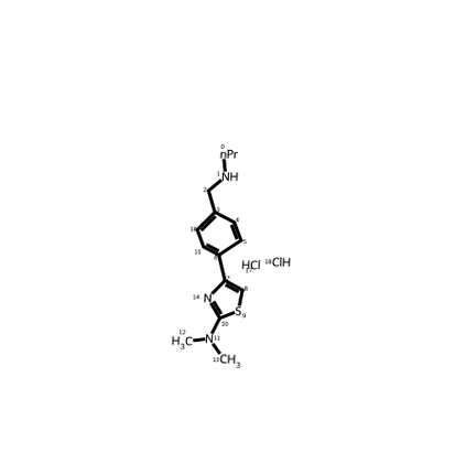 CCCNCc1ccc(-c2csc(N(C)C)n2)cc1.Cl.Cl